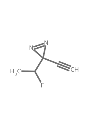 C#CC1(C(C)F)N=N1